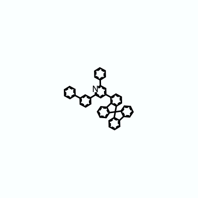 c1ccc(-c2cccc(-c3cc(-c4cccc5c4-c4ccccc4C54c5ccccc5-c5ccccc54)cc(-c4ccccc4)n3)c2)cc1